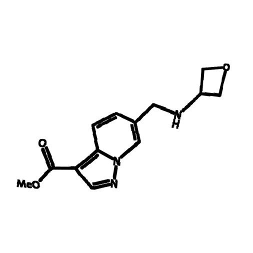 COC(=O)c1cnn2cc(CNC3COC3)ccc12